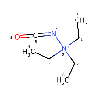 CC[N+](CC)(CC)N=C=O